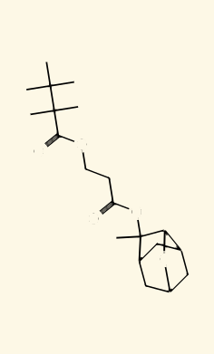 CC1(OC(=O)CCOC(=O)C(C)(C)C(C)(C)C)C2CC3CC(C2)C1C3